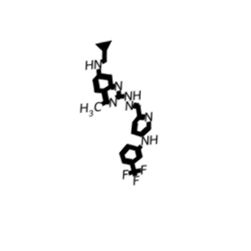 Cc1nc(N/N=C/c2ccc(Nc3cccc(C(F)(F)F)c3)cn2)nc2cc(NCC3CC3)ccc12